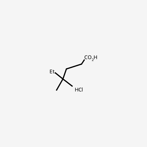 CCC(C)(C)CCC(=O)O.Cl